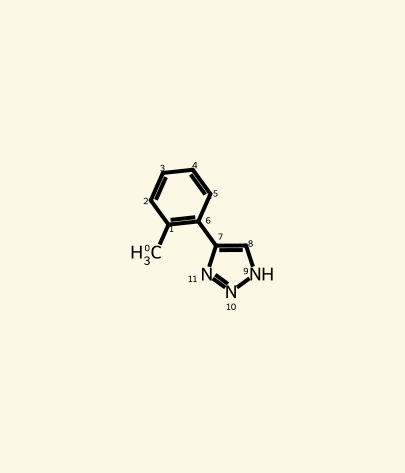 Cc1ccc[c]c1-c1c[nH]nn1